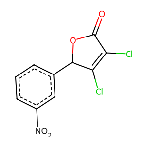 O=C1OC(c2cccc([N+](=O)[O-])c2)C(Cl)=C1Cl